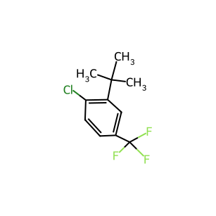 CC(C)(C)c1cc(C(F)(F)F)ccc1Cl